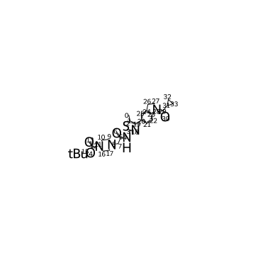 Cc1sc(NC(=O)CN2CCN(C(=O)OC(C)(C)C)CC2)nc1-c1ccc2c(c1)CCN2C(=O)C1CC1